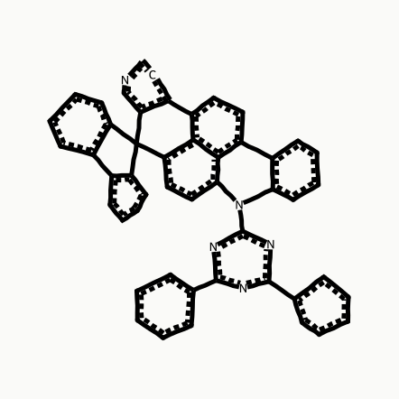 c1ccc(-c2nc(-c3ccccc3)nc(N3c4ccccc4-c4ccc5c6c(ccc3c46)C3(c4ccccc4-c4ccccc43)c3cnccc3-5)n2)cc1